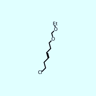 CCOCOCCC=CCCCl